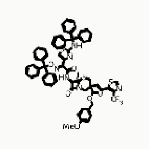 COc1ccc(COC(=O)C2(C=Cc3scnc3C(F)(F)F)CS[C@@H]3C(NC(=O)C(=NOC(c4ccccc4)(c4ccccc4)c4ccccc4)c4csc(NC(c5ccccc5)(c5ccccc5)c5ccccc5)n4)C(=O)N3C2)cc1